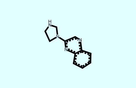 c1ccc2nc(N3CCNC3)cnc2c1